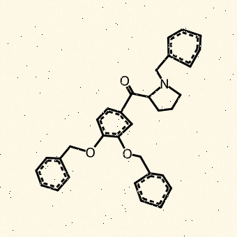 O=C(c1ccc(OCc2ccccc2)c(OCc2ccccc2)c1)C1CCCN1Cc1ccccc1